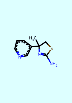 CC1(c2cccnc2)CSC(N)=N1